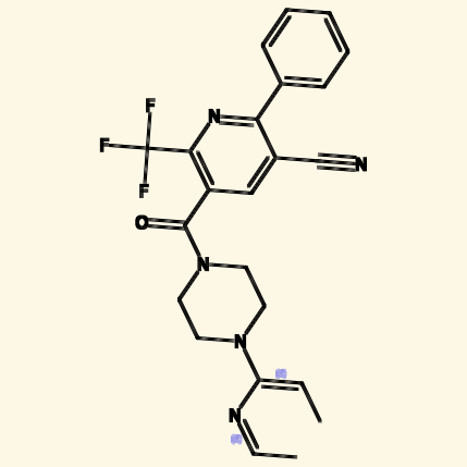 C/C=N\C(=C/C)N1CCN(C(=O)c2cc(C#N)c(-c3ccccc3)nc2C(F)(F)F)CC1